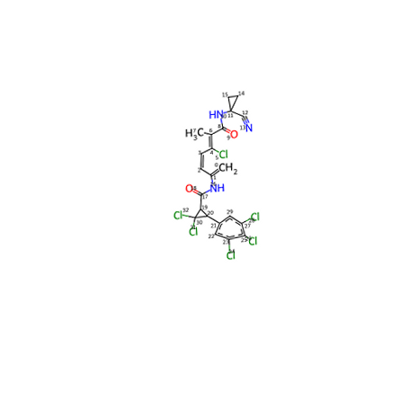 C=C(/C=C\C(Cl)=C(/C)C(=O)NC1(C#N)CC1)NC(=O)C1C(c2cc(Cl)c(Cl)c(Cl)c2)C1(Cl)Cl